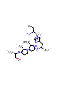 CC(C)CC(N)C(=O)O.NC(CO)C(=O)O.NC(Cc1c[nH]cn1)C(=O)O.O=C(O)[C@@H]1CCCN1.O=C(O)[C@@H]1CCCN1